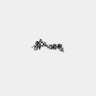 CCC(O)c1nc(-c2c(F)cc(OCCCC3CCN(c4ncc(-c5noc(CC(C)C)n5)cn4)CC3)cc2F)no1